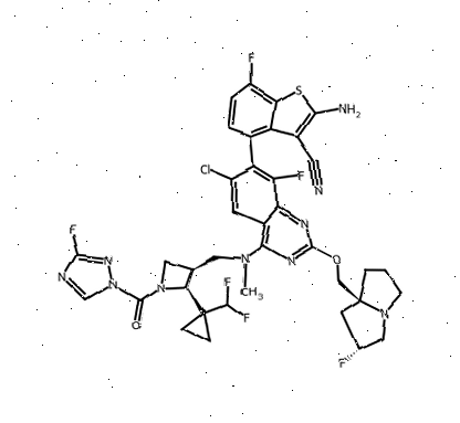 CN(C[C@@H]1CN(C(=O)n2cnc(F)n2)[C@@H]1C1(C(F)F)CC1)c1nc(OC[C@@]23CCCN2C[C@H](F)C3)nc2c(F)c(-c3ccc(F)c4sc(N)c(C#N)c34)c(Cl)cc12